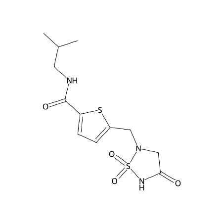 CC(C)CNC(=O)c1ccc(CN2CC(=O)NS2(=O)=O)s1